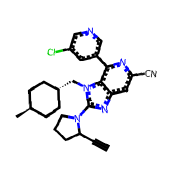 C#CC1CCCN1c1nc2cc(C#N)nc(-c3cncc(Cl)c3)c2n1C[C@H]1CC[C@H](C)CC1